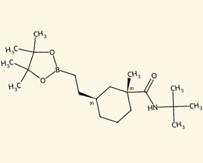 CC(C)(C)NC(=O)[C@]1(C)CCC[C@@H](CCB2OC(C)(C)C(C)(C)O2)C1